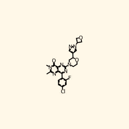 Cc1nc2c(-c3ccc(Cl)cc3F)nc(N3CCOC(c4cnn(C5COC5)c4)C3)nc2c(=O)n1C